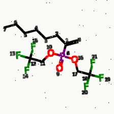 C=C(CCCCCC)P(=O)(OCC(F)(F)F)OCC(F)(F)F